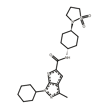 Cc1nn(C2CCCCC2)c2sc(C(=O)N[C@H]3CC[C@H](N4CCCS4(=O)=O)CC3)cc12